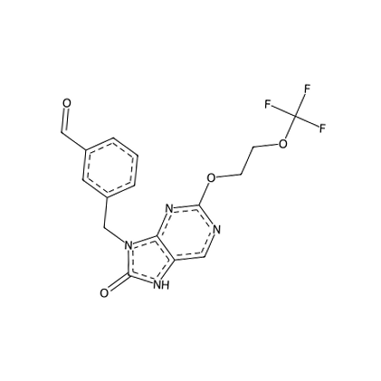 O=Cc1cccc(Cn2c(=O)[nH]c3cnc(OCCOC(F)(F)F)nc32)c1